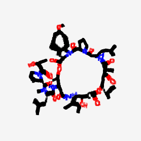 CCC(C)C1NC(=O)C(NC(=O)[C@H](CC(C)C)N(C)C(=O)[C@@H]2CCCN2C(=O)C(C)O)[C@@H](C)OC(=O)[C@H](Cc2ccc(OC)cc2)N(C)C(=O)C2CCCN2C(=O)[C@@H](CC(C)C)NC(=O)C(C)C(=O)[C@H](C(C)C)OC(=O)C[C@H]1O